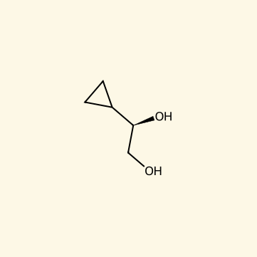 OC[C@H](O)C1CC1